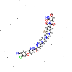 N#Cc1ccc(O[C@H]2CC[C@H](NC(=O)c3ccc(N4CCC(N5CCN(Cc6cc7c(cc6Br)C(=O)N(C6CCC(=O)NC6=O)C7=O)CC5)CC4)nn3)CC2)cc1Cl